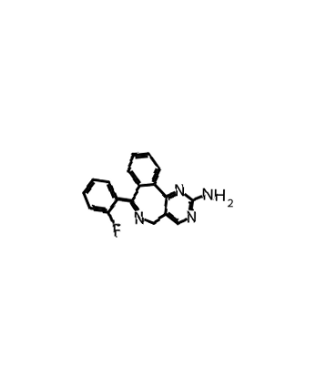 Nc1ncc2c(n1)-c1ccccc1C(c1ccccc1F)=NC2